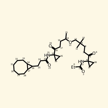 CCC(=O)NC1(C(=O)CCC(C)(C)COC(C)CCC(=O)C2(NC(=O)CCC3C4CCCCCCC43)CC2)CC1